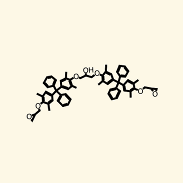 Cc1cc(C(c2ccccc2)(c2ccccc2)c2cc(C)c(OCC3CO3)c(C)c2)cc(C)c1OCC(O)COc1c(C)cc(C(c2ccccc2)(c2ccccc2)c2cc(C)c(OCC3CO3)c(C)c2)cc1C